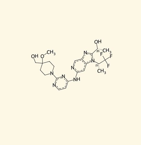 COC1(CO)CCN(c2nccc(Nc3cc4c(cn3)nc([C@@H](C)O)n4[C@@H](C)C(F)(F)F)n2)CC1